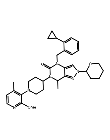 COc1nccc(C)c1N1CCC(N2C(=O)N(Cc3ccccc3C3CC3)c3cn(C4CCCCO4)nc3C2C)CC1